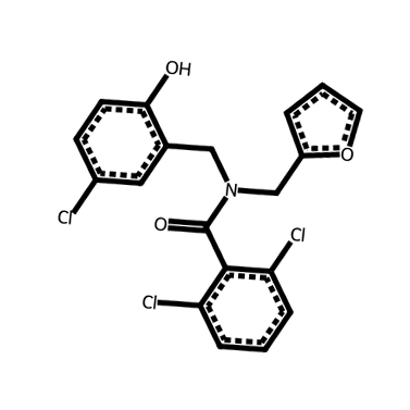 O=C(c1c(Cl)cccc1Cl)N(Cc1ccco1)Cc1cc(Cl)ccc1O